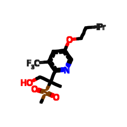 CC(C)CCOc1cnc(C(C)(CO)S(C)(=O)=O)c(C(F)(F)F)c1